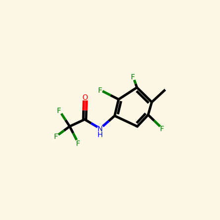 Cc1c(F)cc(NC(=O)C(F)(F)F)c(F)c1F